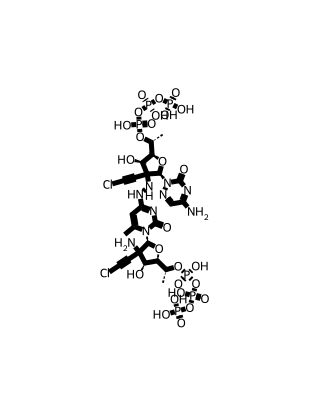 Cc1cc(NNC2(C#CCl)[C@@H](O)[C@@H]([C@@H](C)OP(=O)(O)OP(=O)(O)OP(=O)(O)O)O[C@H]2n2ncc(N)nc2=O)nc(=O)n1[C@@H]1O[C@H]([C@@H](C)OP(=O)(O)OP(=O)(O)OP(=O)(O)O)[C@H](O)C1(N)C#CCl